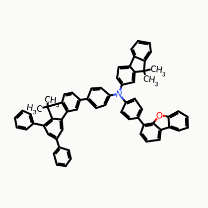 CC1(C)c2ccccc2-c2ccc(N(c3ccc(-c4ccc5c(c4)-c4cc(-c6ccccc6)cc(-c6ccccc6)c4C5(C)C)cc3)c3ccc(-c4cccc5c4oc4ccccc45)cc3)cc21